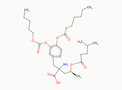 CCCCCOC(=O)Oc1ccc(CC(N)(C[C@H](C)OC(=O)CCC(C)C)C(=O)O)cc1OC(=O)OCCCCC